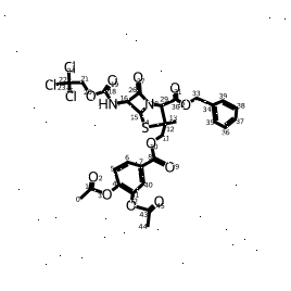 CC(=O)Oc1ccc(C(=O)OCC2(C)SC3C(NC(=O)OCC(Cl)(Cl)Cl)C(=O)N3C2C(=O)OCc2ccccc2)cc1OC(C)=O